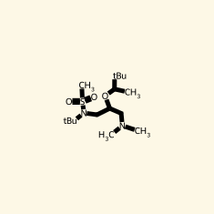 CC(OC(CN(C)C)CN(C(C)(C)C)S(C)(=O)=O)C(C)(C)C